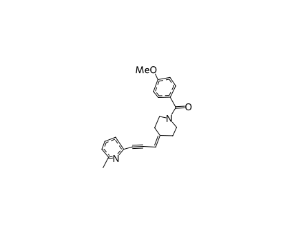 COc1ccc(C(=O)N2CCC(=CC#Cc3cccc(C)n3)CC2)cc1